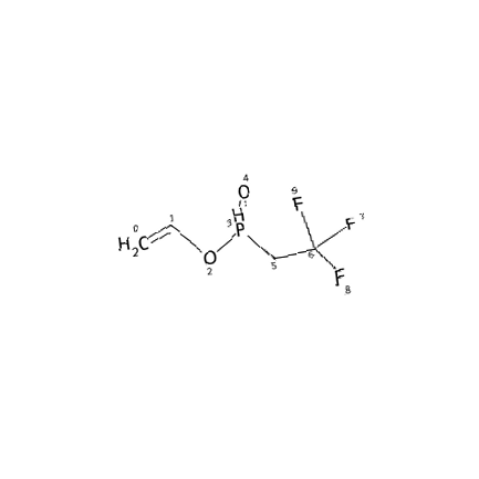 C=CO[PH](=O)CC(F)(F)F